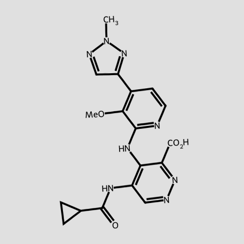 COc1c(-c2cnn(C)n2)ccnc1Nc1c(NC(=O)C2CC2)cnnc1C(=O)O